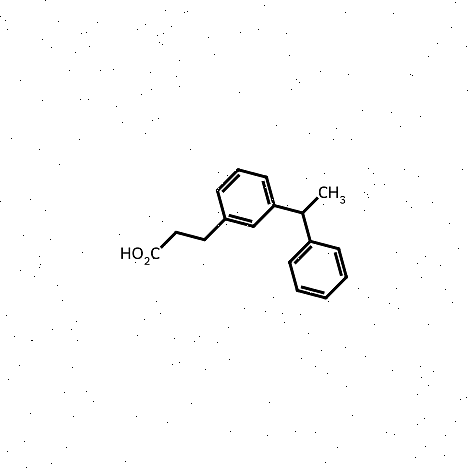 CC(c1ccccc1)c1cccc(CCC(=O)O)c1